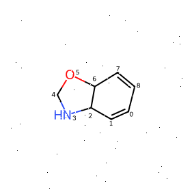 C1=CC2NCOC2C=C1